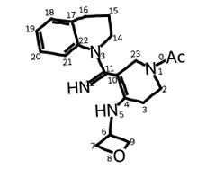 CC(=O)N1CCC(NC2COC2)=C(C(=N)N2CCCc3ccccc32)C1